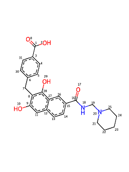 O=C(O)c1ccc(Cc2c(O)cc3ccc(C(=O)NCN4CCCCC4)cc3c2O)cc1